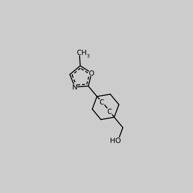 Cc1cnc(C23CCC(CO)(CC2)CC3)o1